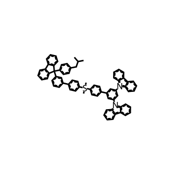 CC(C)Cc1ccc(C2(c3cccc(-c4ccc(S(C)(C)c5ccc(-c6cc(-n7c8ccccc8c8ccccc87)cc(-n7c8ccccc8c8ccccc87)c6)cc5)cc4)c3)c3ccccc3-c3ccccc32)cc1